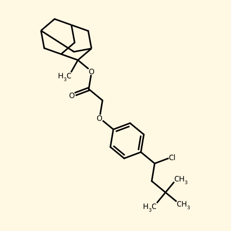 CC(C)(C)CC(Cl)c1ccc(OCC(=O)OC2(C)C3CC4CC(C3)CC2C4)cc1